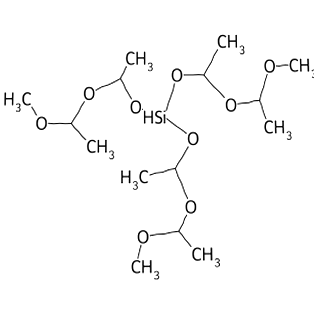 COC(C)OC(C)O[SiH](OC(C)OC(C)OC)OC(C)OC(C)OC